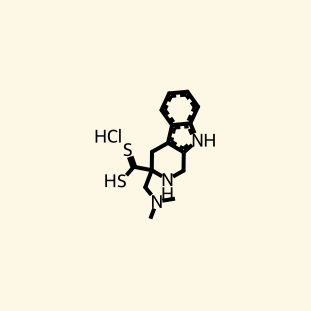 CN(C)CC1(C(=S)S)Cc2c([nH]c3ccccc23)CN1.Cl